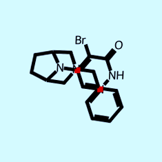 O=c1[nH]ncc(N2C3CCC2CN(Cc2ccccc2)C3)c1Br